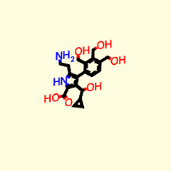 NCCc1[nH]c(C(=O)O)c(C(O)C2CC2)c1-c1ccc(CO)c(CO)c1CO